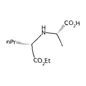 CCC[C@H](N[C@@H](C)C(=O)O)C(=O)OCC